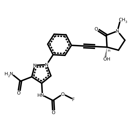 CN1CC[C@@](O)(C#Cc2cccc(-n3cc(NC(=O)OF)c(C(N)=O)n3)c2)C1=O